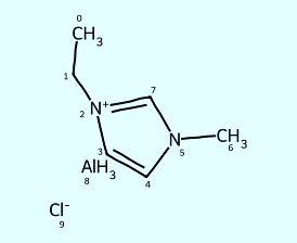 CC[n+]1ccn(C)c1.[AlH3].[Cl-]